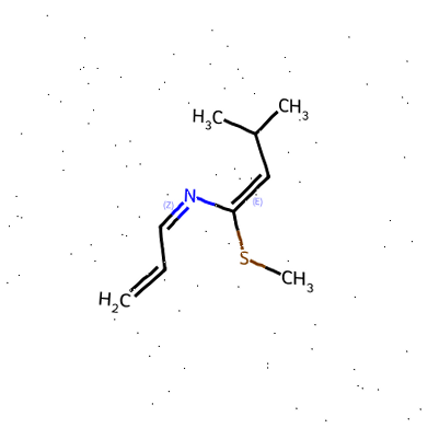 C=C/C=N\C(=C/C(C)C)SC